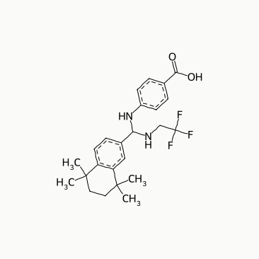 CC1(C)CCC(C)(C)c2cc(C(NCC(F)(F)F)Nc3ccc(C(=O)O)cc3)ccc21